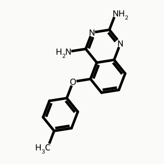 Cc1ccc(Oc2cccc3nc(N)nc(N)c23)cc1